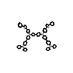 c1ccc(-c2ccc(-c3ccc(N(c4ccc(-c5ccc(N(c6ccccc6)c6ccccc6)cc5)cc4)c4ccc(-c5ccc(N(c6ccc(-c7ccc(N(c8ccccc8)c8ccccc8)cc7)cc6)c6ccc(-c7ccc(-c8ccccc8)s7)cc6)cc5)cc4)cc3)s2)cc1